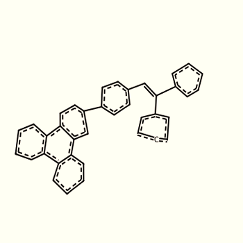 C(=C(c1ccccc1)c1ccccc1)c1ccc(-c2ccc3c4ccccc4c4ccccc4c3c2)cc1